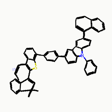 C/C=C\c1c(C2=CC(C)(C)c3ccccc32)sc2c(-c3ccc(-c4ccc5c(c4)c4cc(-c6cccc7ccccc67)ccc4n5-c4ccccc4)cc3)cccc12